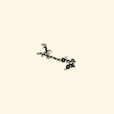 Cc1sc2c(c1C)C(c1ccc(Cl)cc1)=N[C@@H](CC(=O)Nc1ccc(OCCOCCOCCNC(=O)[C@@H](CCC(=O)OC(C)(C)C)NC(=O)[C@H](N)CCC(=O)OC(C)(C)C)cc1)c1nnc(C)n1-2